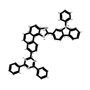 c1ccc(-c2nc(-c3ccccc3)nc(-c3ccc4c(ccc5ccc6c(c54)OC(c4ccc5c7ccccc7n(-c7ccccc7)c5c4)N6)c3)n2)cc1